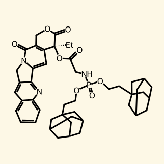 CC[C@@]1(OC(=O)CNP(=O)(OCCC23CC4CC(CC(C4)C2)C3)OCCC23CC4CC(CC(C4)C2)C3)C(=O)OCc2c1cc1n(c2=O)Cc2cc3ccccc3nc2-1